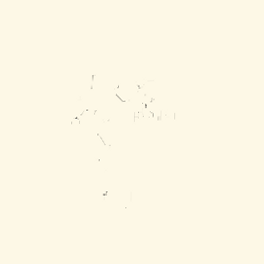 C=C1CC(=O)[C@H](CC=CCCCC(=O)O)[C@H]1C=C[C@@H](O)C(F)(F)CCCC